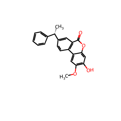 COc1cc2c(cc1O)oc(=O)c1cc([C@@H](C)c3ccccc3)ccc12